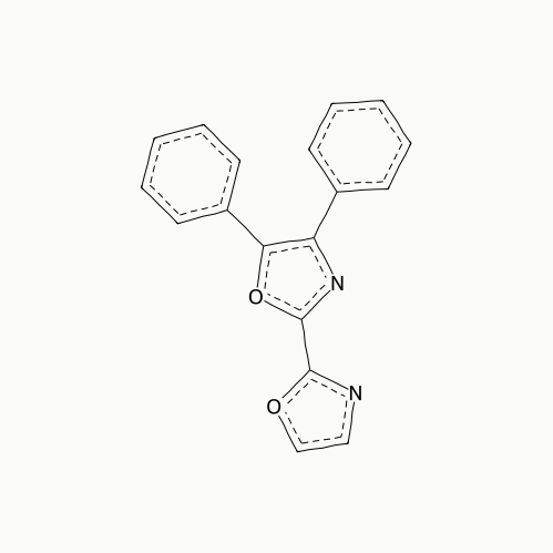 c1ccc(-c2nc(-c3ncco3)oc2-c2ccccc2)cc1